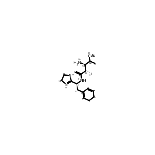 C=C(N[C@@H](CC1=CCCC=C1)C1=NCCS1)[C@@H](C)[C@@H](N)C(C)CCCC